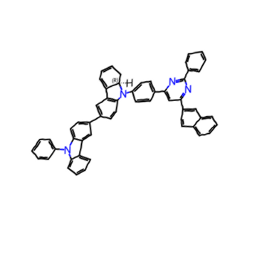 C1=CC[C@@H]2C(=C1)c1cc(-c3ccc4c(c3)c3ccccc3n4-c3ccccc3)ccc1N2c1ccc(-c2cc(-c3ccc4ccccc4c3)nc(-c3ccccc3)n2)cc1